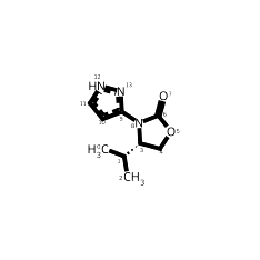 CC(C)[C@H]1COC(=O)N1c1cc[nH]n1